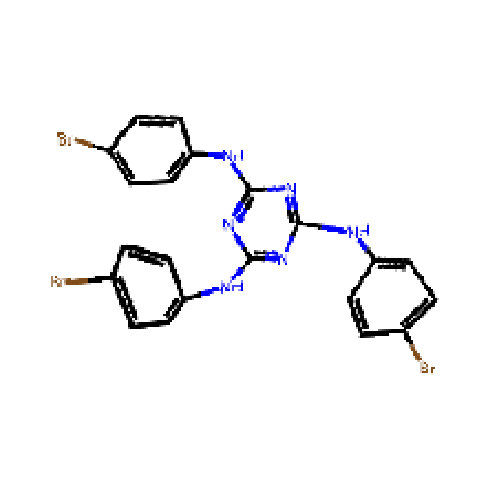 Brc1ccc(Nc2nc(Nc3ccc(Br)cc3)nc(Nc3ccc(Br)cc3)n2)cc1